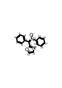 [O-][N+](=C(c1ccccc1)c1ncco1)c1ccccc1